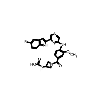 COc1cc(C(=O)N2CC(NC(=O)O)C2)ccc1Nc1cncc(-c2cc3cc(F)ccc3[nH]2)n1